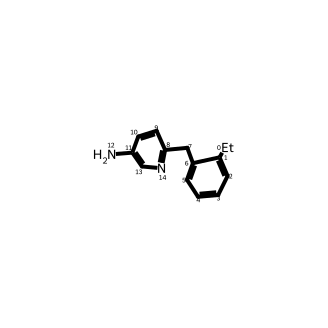 CCc1ccccc1Cc1ccc(N)cn1